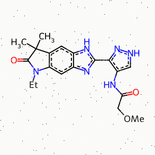 CCN1C(=O)C(C)(C)c2cc3[nH]c(-c4n[nH]cc4NC(=O)COC)nc3cc21